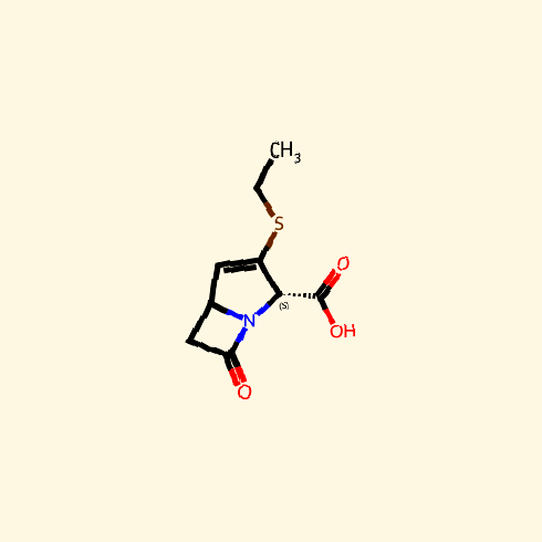 CCSC1=CC2CC(=O)N2[C@H]1C(=O)O